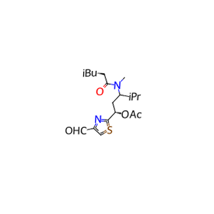 CC[C@H](C)CC(=O)N(C)C(C[C@@H](OC(C)=O)c1nc(C=O)cs1)C(C)C